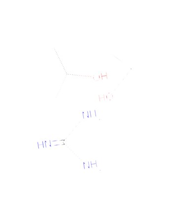 CC(C)O.CCO.N=C(N)N